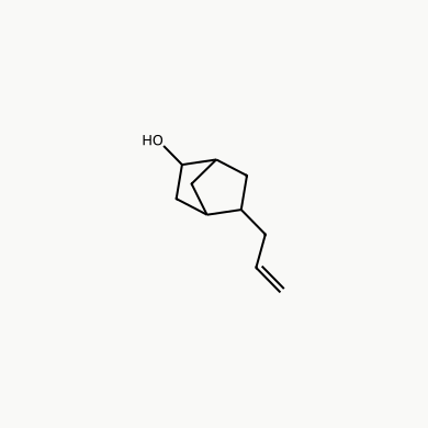 C=CCC1CC2CC1CC2O